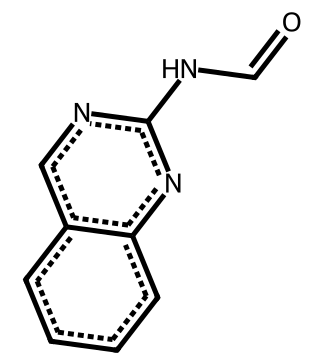 O=CNc1ncc2ccccc2n1